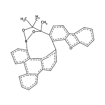 CC1(C)OB2OC1(C)c1ccc3c(oc4ccccc43)c1-c1ccc3c4ccccc4c4cccc2c4c3c1